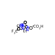 CCN(C[C@H]1CC[C@H](CC(=O)O)CC1)c1ncc(-c2ccccc2)cc1CN(Cc1cc(C(F)(F)F)cc(C(F)(F)F)c1)c1nnn(C)n1